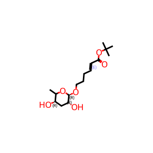 CC1O[C@@H](OCCC/C=C/C(=O)OC(C)(C)C)[C@H](O)C[C@H]1O